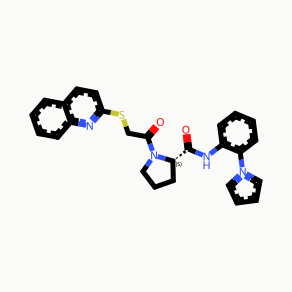 O=C(Nc1ccccc1-n1cccc1)[C@@H]1CCCN1C(=O)CSc1ccc2ccccc2n1